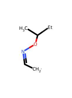 [CH2]/C=N\OC(C)CC